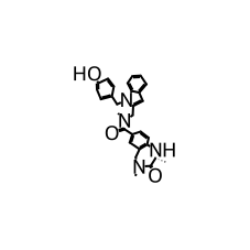 C[C@H]1Nc2ccc(C(=O)N(C)Cc3cc4ccccc4n3Cc3ccc(O)cc3)cc2CN(C)C1=O